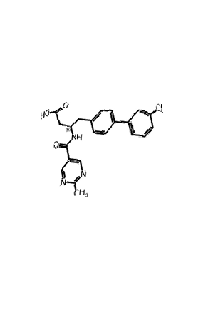 Cc1ncc(C(=O)N[C@@H](CC(=O)O)Cc2ccc(-c3cccc(Cl)c3)cc2)cn1